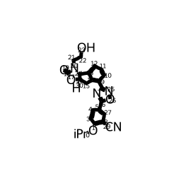 CC(C)Oc1ccc(-c2nc(-c3cccc4c3C[C@H]3OC(=O)N(CCO)C43)no2)cc1C#N